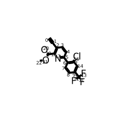 C#Cc1ccc(-c2ccc(C(F)(F)F)cc2Cl)nc1C(=O)OC